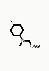 COCN(C)[C@H]1CC[C@H](C)CC1